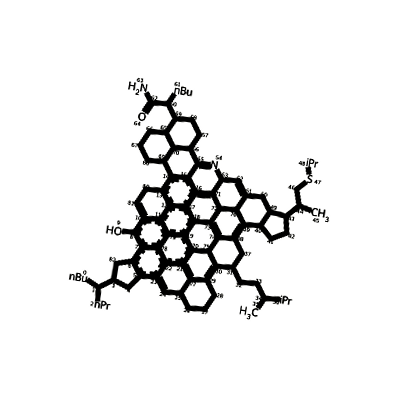 CCCCC(CCC)C1Cc2c(c3c(O)c4c5c6c(c7c8c9c6c6c%10c%11c%12c(c2=CC2CCCC(=C%13C(CCC(C)C(C)C)CC%14=C%15C%16CCC(C(C)CSC(C)C)C%16CC%16=CC(N=C8C8CCC(C(CCCC)C(N)=O)C%17CCCC7C8%17)C=9C(C6=C%14C%13%11)C%16%15)C=%122)c3c%105)CC=4)C1